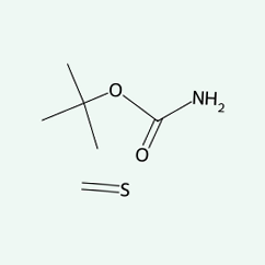 C=S.CC(C)(C)OC(N)=O